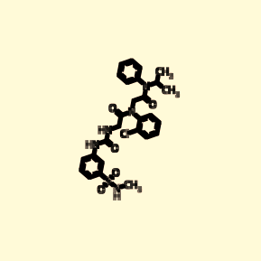 CNS(=O)(=O)c1cccc(NC(=O)NCC(=O)N(CC(=O)N(c2ccccc2)C(C)C)c2ccccc2Cl)c1